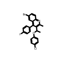 Cc1nc2ccc(Br)cc2c(-c2ccc(F)cc2)c1C(C)Oc1ccc(Cl)cc1